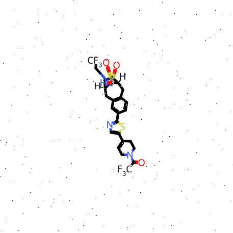 O=C(N1CC=C(c2cnc(-c3ccc4c(c3)C[C@H]3CC[C@@H](C4)[C@]34CN(CC(F)(F)F)S(=O)(=O)N4)s2)CC1)C(F)(F)F